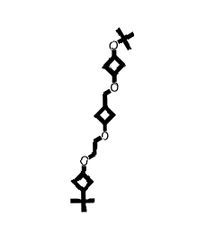 CC(C)(C)OC1CC(OCC2CC(OCCOC3CC(C(C)(C)C)C3)C2)C1